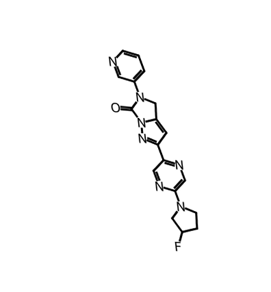 O=C1N(c2cccnc2)Cc2cc(-c3cnc(N4CCC(F)C4)cn3)nn21